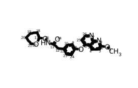 COc1ccc2c(Oc3ccc(CC(=O)NOC4CCCCO4)cc3)ccnc2n1